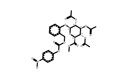 COC(=O)[C@H]1O[C@@H](Oc2ccccc2COC(=O)Oc2ccc([N+](=O)[O-])cc2)[C@H](OC(C)=O)[C@@H](OC(C)=O)[C@@H]1OC(C)=O